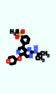 CC(C)Nc1ncc2c(OC3CCOCC3)ncc(-c3cccc(S(C)(=O)=O)c3)c2n1